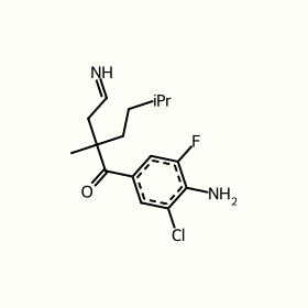 CC(C)CCC(C)(CC=N)C(=O)c1cc(F)c(N)c(Cl)c1